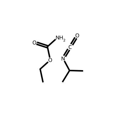 CC(C)N=C=O.CCOC(N)=O